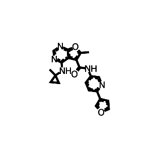 Cc1oc2ncnc(NC3(C)CC3)c2c1C(=O)Nc1ccc(-c2ccoc2)nc1